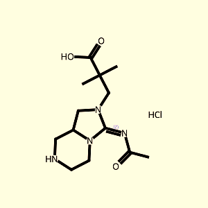 CC(=O)/N=C1/N(CC(C)(C)C(=O)O)CC2CNCCN12.Cl